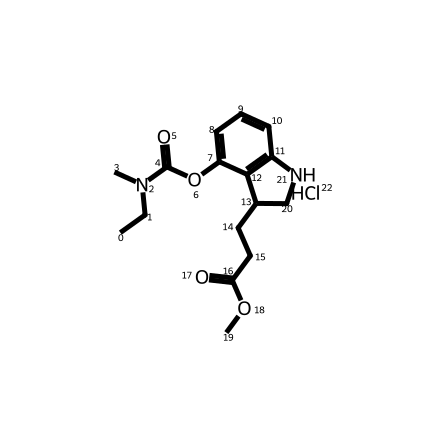 CCN(C)C(=O)Oc1cccc2c1C(CCC(=O)OC)CN2.Cl